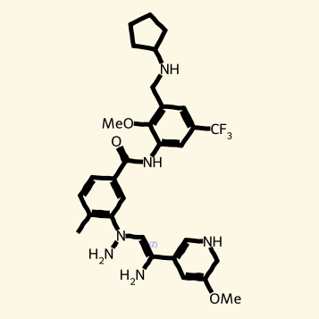 COC1=CC(/C(N)=C/N(N)c2cc(C(=O)Nc3cc(C(F)(F)F)cc(CNC4CCCC4)c3OC)ccc2C)=CNC1